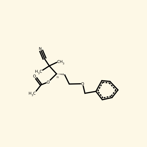 CC(=O)O[C@@H](CCOCc1ccccc1)C(C)(C)C#N